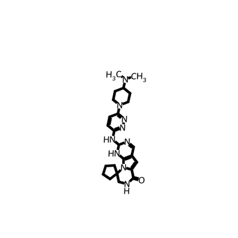 CN(C)C1CCN(c2ccc(NC3N=Cc4cc5n(c4N3)C3(CCCC3)CNC5=O)nn2)CC1